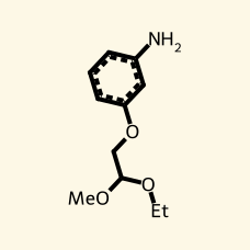 CCOC(COc1cccc(N)c1)OC